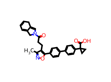 Cc1noc(-c2ccc(-c3ccc(C4(C(=O)O)CC4)cc3)cc2)c1CCC(=O)N1C=C2CC=CC=C2C1